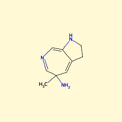 CC1(N)C=NC=C2NCCC2=C1